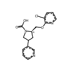 O=C(O)N1CC(c2cccnc2)C[C@@H]1COc1ncccc1Cl